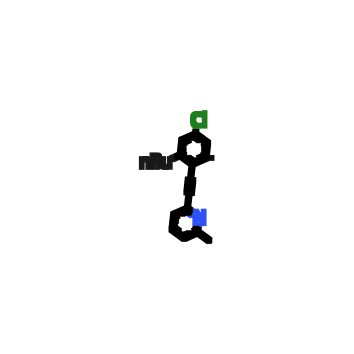 CCCCc1cc(Cl)c[c]c1C#Cc1cccc(C)n1